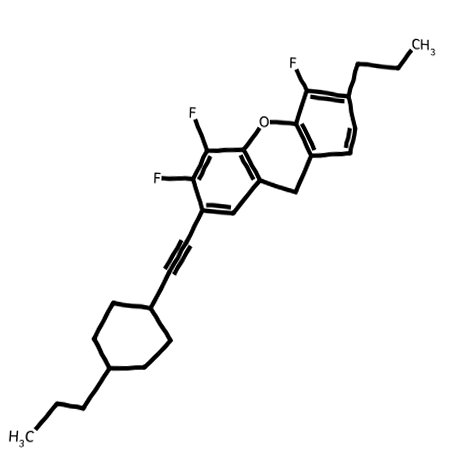 CCCc1ccc2c(c1F)Oc1c(cc(C#CC3CCC(CCC)CC3)c(F)c1F)C2